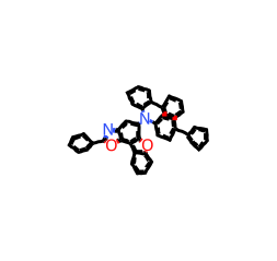 c1ccc(-c2ccc(N(c3ccccc3-c3ccccc3)c3cc4nc(-c5ccccc5)oc4c4c3oc3ccccc34)cc2)cc1